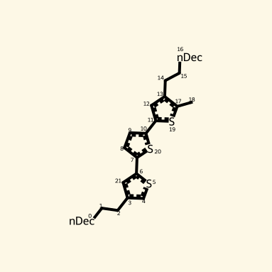 CCCCCCCCCCCCc1csc(-c2ccc(-c3cc(CCCCCCCCCCCC)c(C)s3)s2)c1